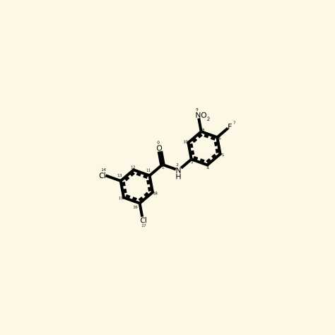 O=C(Nc1ccc(F)c([N+](=O)[O-])c1)c1cc(Cl)cc(Cl)c1